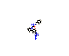 O=C(Cn1c2ccccc2c2cc(-c3nn[nH]n3)ccc21)NCCc1ccccc1